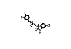 C[C@]1(CCC(=S)NCc2ccc(F)c(F)c2)C(=O)Nc2cc(Cl)ccc21